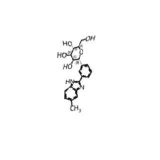 Cc1ccc2[nH]c(-c3cccc([C@H]4O[C@H](CO)[C@@H](O)[C@H](O)[C@@H]4O)c3)nc2c1